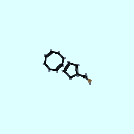 C1=C\CC/C=C\CC/1.[Br][Ru][C]1=CC=CC1